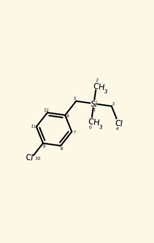 C[Si](C)(CCl)Cc1ccc(Cl)cc1